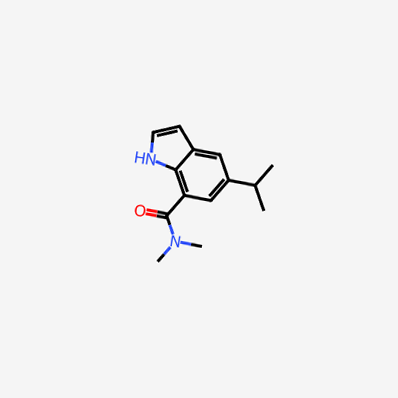 CC(C)c1cc(C(=O)N(C)C)c2[nH]ccc2c1